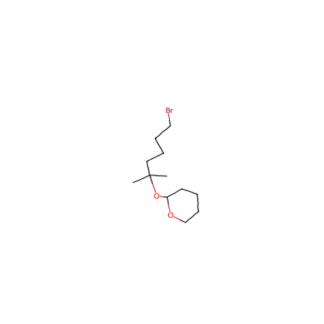 CC(C)(CCCCBr)OC1CCCCO1